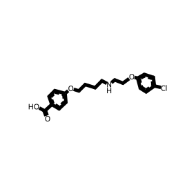 O=C(O)c1ccc(OCCCCNCCOc2ccc(Cl)cc2)cc1